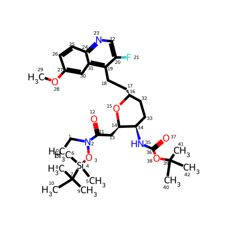 CCN(O[Si](C)(C)C(C)(C)C)C(=O)C[C@H]1O[C@H](CCc2c(F)cnc3ccc(OC)cc23)CC[C@H]1NC(=O)OC(C)(C)C